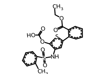 CCOC(=O)c1ccccc1-c1cc(NS(=O)(=O)c2ccccc2C)c(OC(=O)O)s1